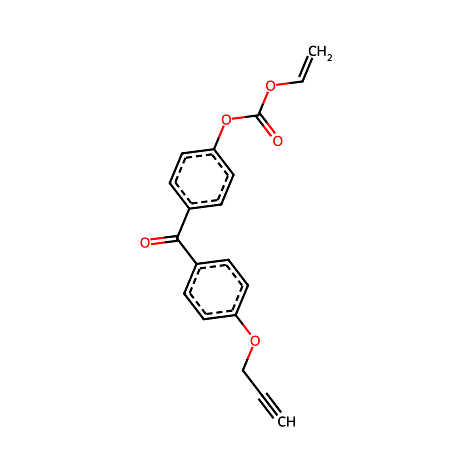 C#CCOc1ccc(C(=O)c2ccc(OC(=O)OC=C)cc2)cc1